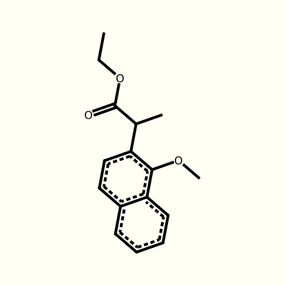 CCOC(=O)C(C)c1ccc2ccccc2c1OC